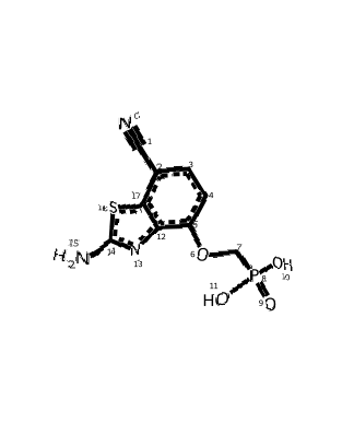 N#Cc1ccc(OCP(=O)(O)O)c2nc(N)sc12